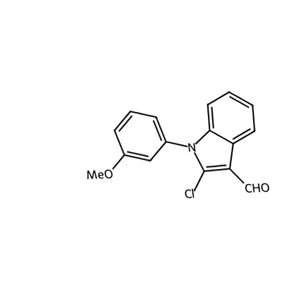 COc1cccc(-n2c(Cl)c(C=O)c3ccccc32)c1